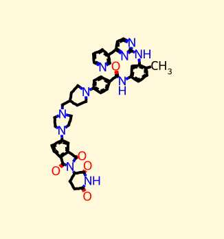 Cc1ccc(NC(=O)c2ccc(N3CCC(CN4CCN(c5ccc6c(c5)C(=O)N(C5CCC(=O)NC5=O)C6=O)CC4)CC3)cc2)cc1Nc1nccc(-c2cccnc2)n1